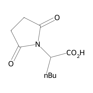 CCCCC(C(=O)O)N1C(=O)CCC1=O